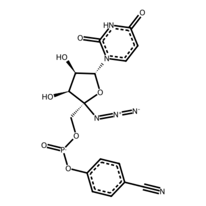 N#Cc1ccc(O[P](=O)OC[C@@]2(N=[N+]=[N-])O[C@@H](n3ccc(=O)[nH]c3=O)[C@H](O)[C@@H]2O)cc1